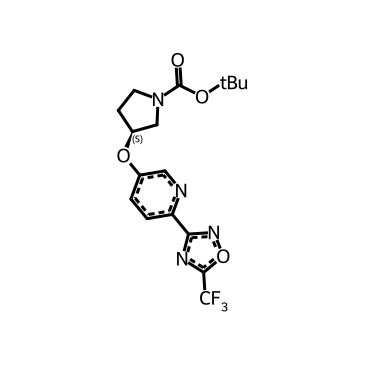 CC(C)(C)OC(=O)N1CC[C@H](Oc2ccc(-c3noc(C(F)(F)F)n3)nc2)C1